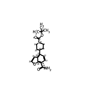 CC(C)(C)OC(=O)N1CCC(c2ccc(C(N)=O)c3occc23)CC1